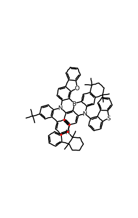 CC(C)(C)c1ccc(N2c3cc(N4c5ccccc5C5(C)CCCCC45C)cc4c3B(c3cc5c(cc3N4c3cccc4sc6ccccc6c34)C(C)(C)CCC5(C)C)c3c2ccc2c3oc3ccccc32)c(-c2ccccc2)c1